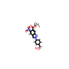 COC(=O)c1cc2nn(C3CCC(CO)CC3)cc2cc1[N+](=O)[O-]